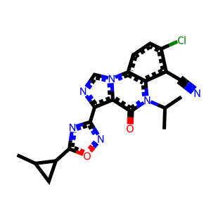 CC1CC1c1nc(-c2ncn3c2c(=O)n(C(C)C)c2c(C#N)c(Cl)ccc23)no1